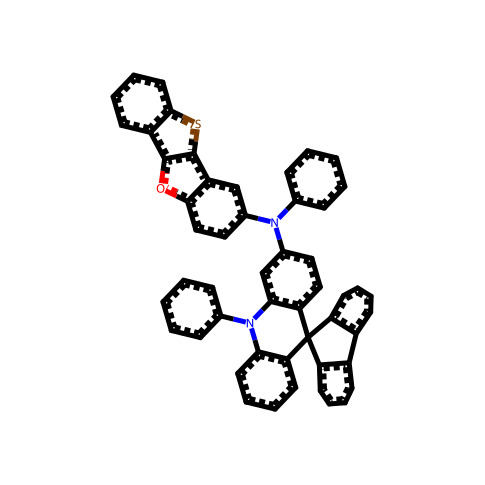 c1ccc(N(c2ccc3c(c2)N(c2ccccc2)c2ccccc2C32c3ccccc3-c3ccccc32)c2ccc3oc4c5ccccc5sc4c3c2)cc1